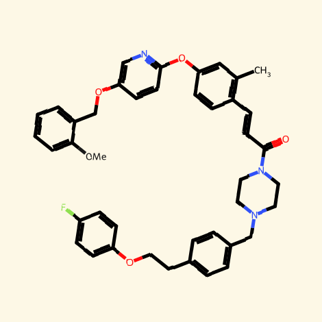 COc1ccccc1COc1ccc(Oc2ccc(C=CC(=O)N3CCN(Cc4ccc(CCOc5ccc(F)cc5)cc4)CC3)c(C)c2)nc1